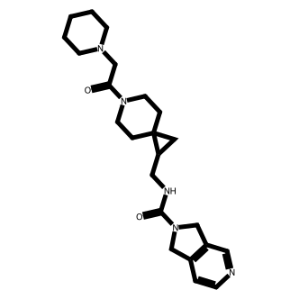 O=C(CN1CCCCC1)N1CCC2(CC1)CC2CNC(=O)N1Cc2ccncc2C1